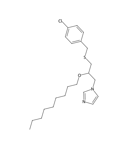 CCCCCCCCCOC(CSCc1ccc(Cl)cc1)Cn1ccnc1